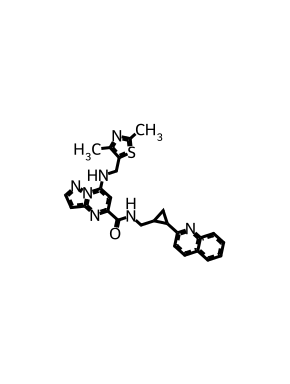 Cc1nc(C)c(CNc2cc(C(=O)NCC3CC3c3ccc4ccccc4n3)nc3ccnn23)s1